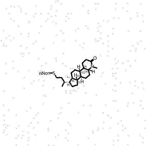 CCCCCCCCCSCCC(C)[C@H]1CC[C@H]2[C@@H]3CC[C@H]4N(C)C(=O)CC[C@]4(C)[C@H]3CC[C@]12C